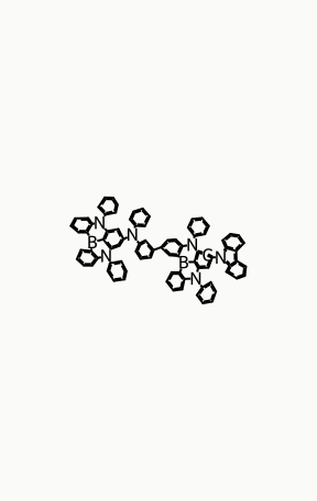 c1ccc(N(c2cccc(-c3ccc4c(c3)B3c5ccccc5N(c5ccccc5)c5cc(-n6c7ccccc7c7ccccc76)cc(c53)N4c3ccccc3)c2)c2cc3c4c(c2)N(c2ccccc2)c2ccccc2B4c2ccccc2N3c2ccccc2)cc1